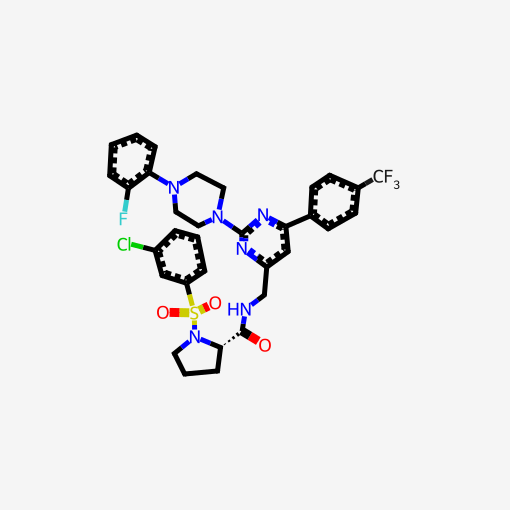 O=C(NCc1cc(-c2ccc(C(F)(F)F)cc2)nc(N2CCN(c3ccccc3F)CC2)n1)[C@@H]1CCCN1S(=O)(=O)c1cccc(Cl)c1